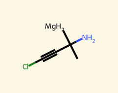 CC(C)(N)C#CCl.[MgH2]